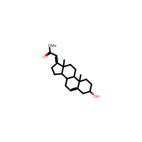 COC(=O)/C=C1\CCC2C3CC=C4CC(O)CCC4(C)C3CCC12C